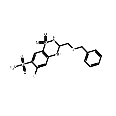 NS(=O)(=O)c1cc2c(cc1Cl)NC(CSCc1ccccc1)NS2(=O)=O